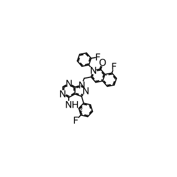 Nc1ncnc2c1c(-c1cccc(F)c1)nn2Cc1cc2cccc(F)c2c(=O)n1-c1ccccc1F